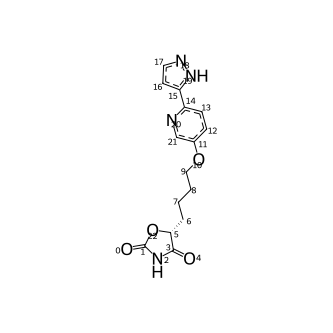 O=C1NC(=O)[C@@H](CCCCOc2ccc(-c3ccn[nH]3)nc2)O1